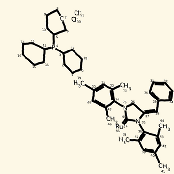 C1CCC(P(C2CCCCC2)C2CCCCC2)CC1.Cc1cc(C)c(N2CC(=Cc3ccccc3)N(c3c(C)cc(C)cc3C)[C]2=[Ru+2])c(C)c1.[Cl-].[Cl-]